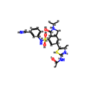 CC(=O)Nc1nc(C)c(-c2cc3c(c(S(=O)(=O)Nc4cccc(C#N)c4)c2)C(=O)N(C(C)C)C3)s1